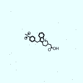 CS(=O)(=O)c1ccc(Cc2c3n(c4ccccc24)CC(CC(=O)O)CC3)cc1